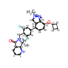 [2H]C1([2H])c2ncccc2C(=O)N1Cc1c(F)cc(-c2ccc(OC3CCC3)c3nn(C)cc23)cc1F